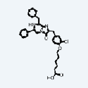 O=C(O)CCCCCOc1ccc(Cc2nc3c(Cc4ccccc4)[nH]c(-c4ccccc4)cn-3c2=O)cc1Cl